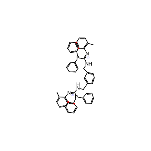 Cc1cccc(C)c1/N=C(/NCc1cccc(CN/C(=N/c2c(C)cccc2C)P(c2ccccc2)c2ccccc2)c1)P(c1ccccc1)c1ccccc1